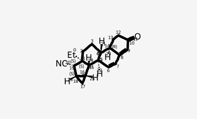 CC[C@]12CC[C@H]3[C@@H](C=CC4=CC(=O)CC[C@@H]43)[C@@H]1[C@@H]1C[C@@H]1[C@@H]2C#N